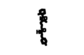 Cc1ccc(CCNC(=O)CCCc2nc(-c3ccccc3C)oc2C)cc1